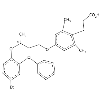 CCc1ccc(O[C@H](C)CCOc2cc(C)c(CCC(=O)O)c(C)c2)c(Oc2ccccc2)c1